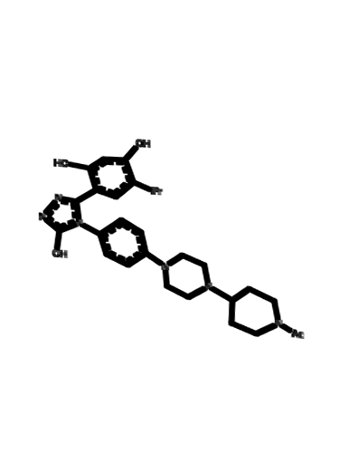 CC(=O)N1CCC(N2CCN(c3ccc(-n4c(O)nnc4-c4cc(C(C)C)c(O)cc4O)cc3)CC2)CC1